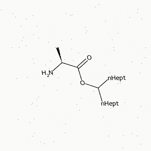 CCCCCCCC(CCCCCCC)OC(=O)[C@H](C)N